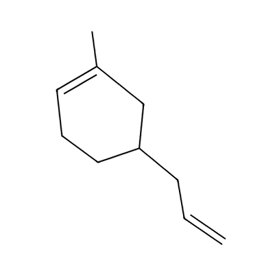 C=CCC1CCC=C(C)C1